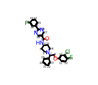 O=C(NC1CCN(C(COc2ccc(F)c(Cl)c2)c2ccccc2)CC1)c1cnc(-c2cccc(F)c2)nc1